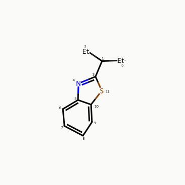 C[CH]C(CC)c1nc2ccccc2s1